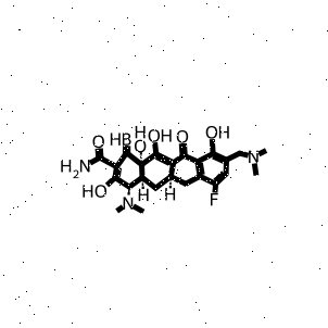 B=C1C(C(N)=O)=C(O)[C@@H](N(C)C)[C@@H]2C[C@@H]3Cc4c(F)cc(CN(C)C)c(O)c4C(=O)C3=C(O)[C@]12O